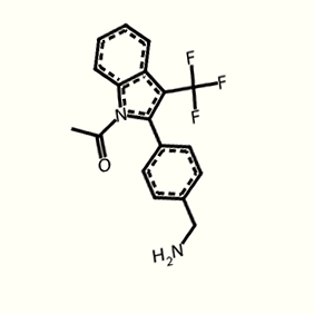 CC(=O)n1c(-c2ccc(CN)cc2)c(C(F)(F)F)c2ccccc21